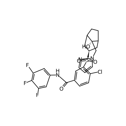 O=C(Nc1cc(F)c(F)c(F)c1)c1ccc(Cl)c(S(=O)(=O)[C@H]2CC3CCC(C2)[C@@]3(O)Cn2cccn2)c1